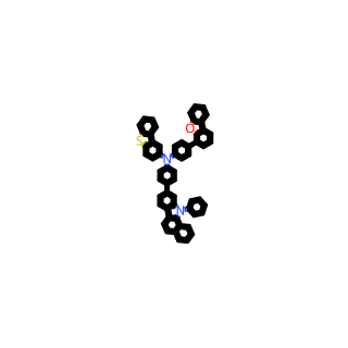 c1ccc(-n2c3cc(-c4ccc(N(c5ccc(-c6cccc7c6oc6ccccc67)cc5)c5ccc6sc7ccccc7c6c5)cc4)ccc3c3ccc4ccccc4c32)cc1